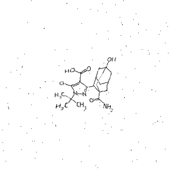 CC(C)(C)n1nc(C2C3CC4CC(O)(C3)CC2(C(N)=O)C4)c(C(=O)O)c1Cl